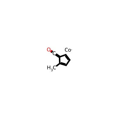 CC1=CC=CC1=C=O.[Co]